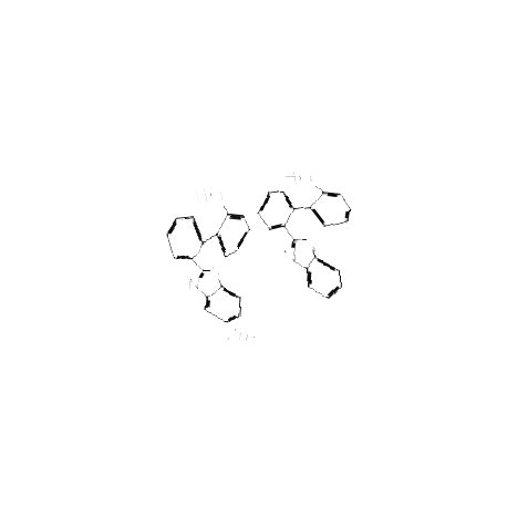 Oc1ccccc1-c1ccccc1-c1nc2ccccc2s1.Oc1ccccc1-c1ccccc1-c1nc2ccccc2s1.[Zn+2]